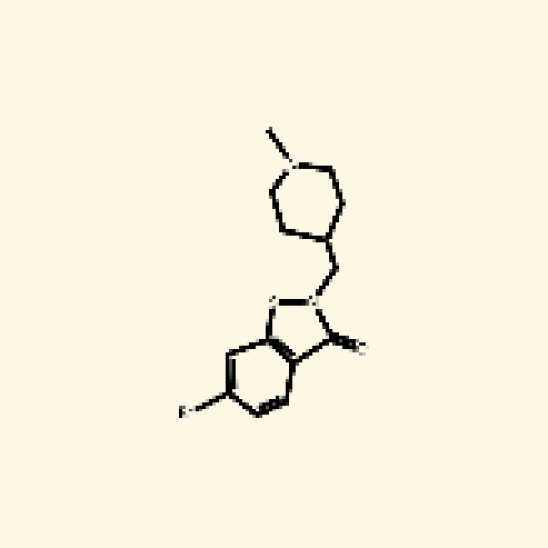 CN1CCC(Cn2sc3cc(Br)ccc3c2=O)CC1